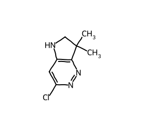 CC1(C)CNc2cc(Cl)nnc21